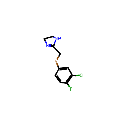 Fc1ccc(SCC2=NCCN2)cc1Cl